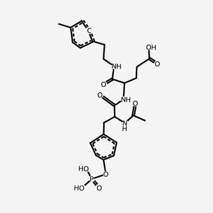 CC(=O)NC(Cc1ccc(OP(=O)(O)O)cc1)C(=O)NC(CCC(=O)O)C(=O)NCCc1ccc(C)cc1